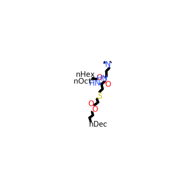 CCCCCCCCCCCCCOC(=O)CCSCCC(NC(=O)C(CCCCCC)CCCCCCCC)C(=O)NCCCN(C)C